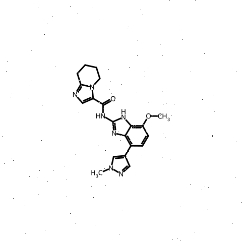 COc1ccc(-c2cnn(C)c2)c2nc(NC(=O)c3cnc4n3CCCC4)[nH]c12